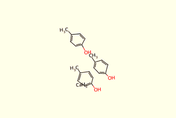 Cc1ccc(O)cc1.Cc1ccc(O)cc1.Cc1ccc(O)cc1.[CaH2]